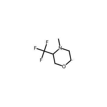 CN1C[CH]OCC1C(F)(F)F